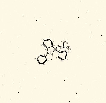 C[Si](C)(C)O[Si](O[SiH2]c1ccccc1)(c1ccccc1)c1ccccc1